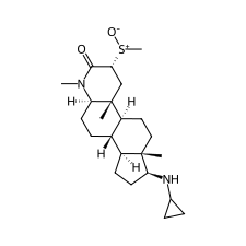 CN1C(=O)[C@H]([S+](C)[O-])C[C@]2(C)[C@H]3CC[C@]4(C)[C@@H](NC5CC5)CC[C@H]4[C@@H]3CC[C@@H]12